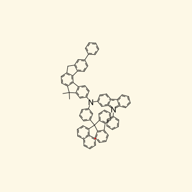 CC1(C)c2cc(N(c3cccc(C4(c5cccc6ccccc56)c5ccccc5-c5ccccc54)c3)c3ccc4c5ccccc5n(-c5ccccc5)c4c3)ccc2-c2c1ccc1c2-c2ccc(-c3ccccc3)cc2C1